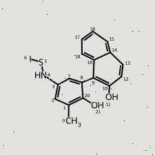 Cc1cc(NSI)cc(-c2c(O)ccc3ccccc23)c1O